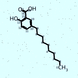 CCCCCCCCCCc1ccc(O)c(C(=O)O)c1